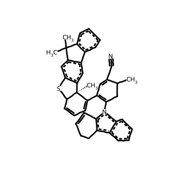 CC1CC(n2c3c(c4ccccc42)CCC=C3)=C(C2=CC=CC3Sc4cc5c(cc4[C@@]23C)-c2ccccc2C5(C)C)C=C1C#N